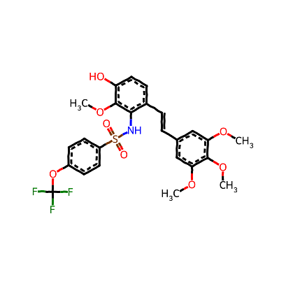 COc1cc(C=Cc2ccc(O)c(OC)c2NS(=O)(=O)c2ccc(OC(F)(F)F)cc2)cc(OC)c1OC